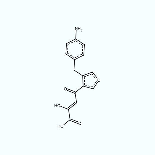 Nc1ccc(Cc2cocc2C(=O)C=C(O)C(=O)O)cc1